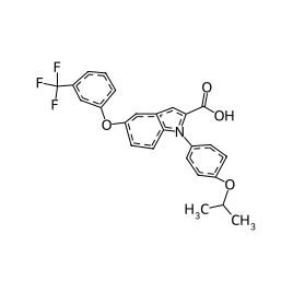 CC(C)Oc1ccc(-n2c(C(=O)O)cc3cc(Oc4cccc(C(F)(F)F)c4)ccc32)cc1